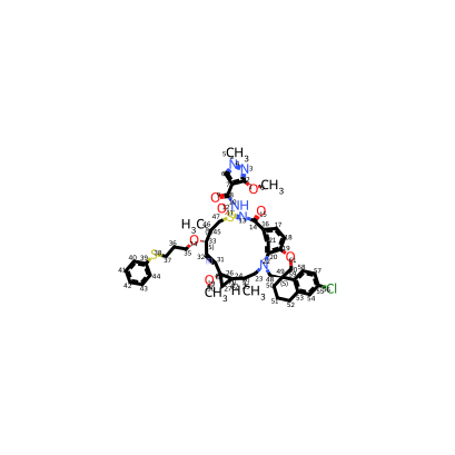 COc1nn(C)cc1C(=O)NS1(=O)=NC(=O)c2ccc3c(c2)N(C[C@H](C)[C@H]2C[C@@]2(OC)/C=C/[C@H](OCCCSc2ccccc2)[C@H](C)C1)C[C@@]1(CCCc2cc(Cl)ccc21)CO3